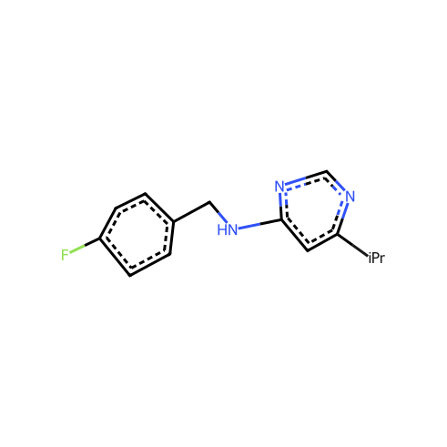 CC(C)c1cc(NCc2ccc(F)cc2)ncn1